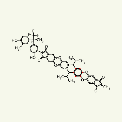 Cc1cc([C@@](C)(c2ccc(O)c(-n3c(=O)c4cc5oc6cc7c(cc6oc5cc4c3=O)C3(C(C)C)c4ccccc4C7(C(C)C)c4cc5oc6cc7c(=O)n(C)c(=O)c7cc6oc5cc43)c2)C(F)(F)F)ccc1O